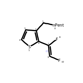 CCCCCCc1ccsc1/C(F)=C/F